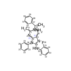 C=C(/N=C1\C(=C/N)N=C(Nc2ccccc2F)N1c1ccccc1)NC(C)c1ccccc1